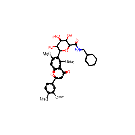 COc1ccc(-c2cc(=O)c3c(OC)c(C4OC(C(=O)NCC5CCCCC5)C(O)C(O)C4O)c(OC)cc3o2)cc1OC